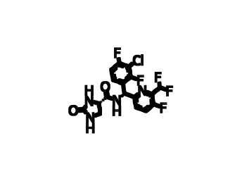 O=C1NC[C@@H](C(=O)N[C@@H](c2ccc(F)c(C(F)F)n2)c2ccc(F)c(Cl)c2F)N1